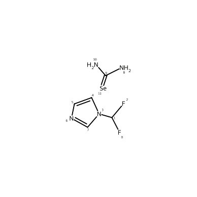 FC(F)n1ccnc1.NC(N)=[Se]